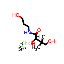 CC(C)(CO)C(O)C(=O)NCCCO.[Cl-].[Cl-].[Sr+2]